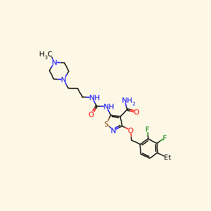 CCc1ccc(COc2nsc(NC(=O)NCCCN3CCN(C)CC3)c2C(N)=O)c(F)c1F